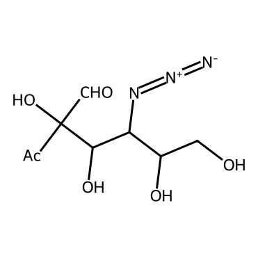 CC(=O)C(O)(C=O)C(O)C(N=[N+]=[N-])C(O)CO